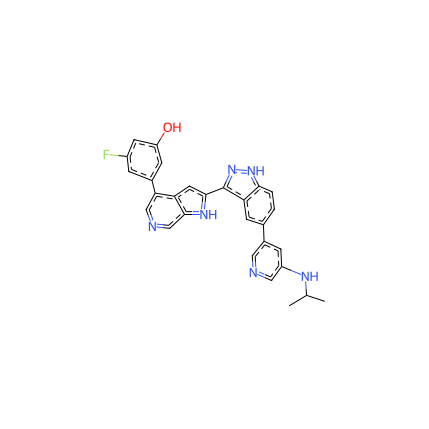 CC(C)Nc1cncc(-c2ccc3[nH]nc(-c4cc5c(-c6cc(O)cc(F)c6)cncc5[nH]4)c3c2)c1